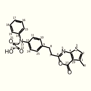 Cc1csc2nc(CCc3ccc(N(c4ccccc4)S(=O)(=O)O)cc3)oc(=O)c12